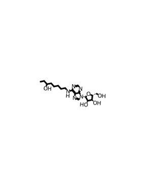 CCC(O)CCCCCNc1ncnc2c1ncn2[C@@H]1O[C@H](CO)[C@@H](O)[C@H]1O